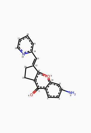 Nc1ccc2c(=O)c3c(oc2c1)C(=Cc1ccccn1)CC3